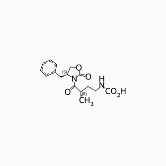 C[C@H](CCNC(=O)O)C(=O)N1C(=O)OC[C@@H]1Cc1ccccc1